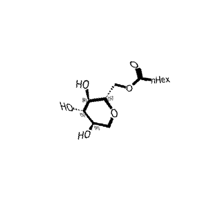 CCCCCCC(=O)OC[C@@H]1OC[C@@H](O)[C@H](O)[C@H]1O